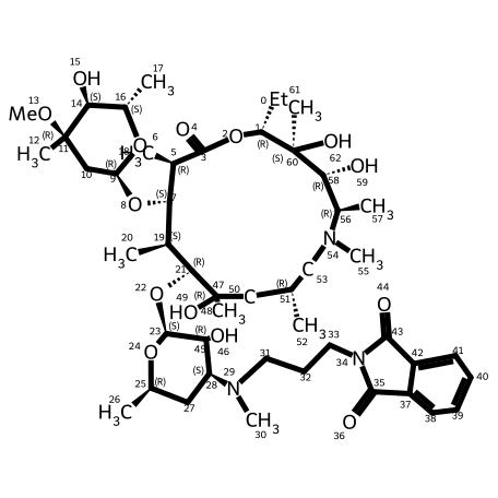 CC[C@H]1OC(=O)[C@H](C)[C@@H](O[C@H]2C[C@@](C)(OC)[C@@H](O)[C@H](C)O2)[C@H](C)[C@@H](O[C@@H]2O[C@H](C)C[C@H](N(C)CCCN3C(=O)c4ccccc4C3=O)[C@H]2O)[C@](C)(O)C[C@@H](C)CN(C)[C@H](C)[C@@H](O)[C@]1(C)O